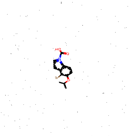 CC(C)Oc1ccc2c(ccn2C(=O)O)c1Br